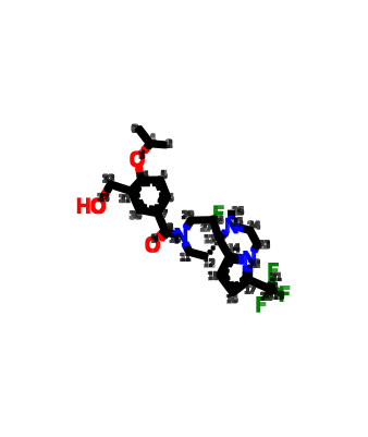 CC(C)Oc1ccc(C(=O)N2CC[C@]3(c4ccc(C(F)(F)F)n4CCN3C)[C@H](F)C2)cc1CO